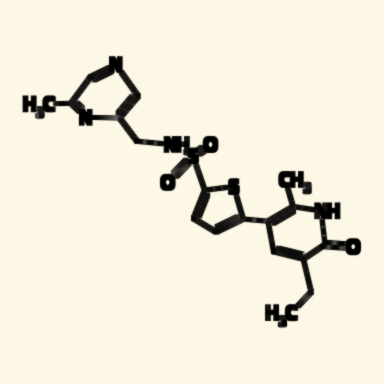 CCc1cc(-c2ccc(S(=O)(=O)NCc3cncc(C)n3)s2)c(C)[nH]c1=O